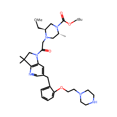 COC[C@H]1CN(C(=O)OC(C)(C)C)[C@H](C)CN1CC(=O)N1CC(C)(C)c2ncc(Cc3ccccc3OCCN3CCNCC3)cc21